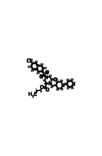 CCCOC(=O)[C@H]1CN(S(=O)(=O)c2ccc3cc(Cl)ccc3c2)CC(=O)N1CC1CCN(c2ccncc2)CC1